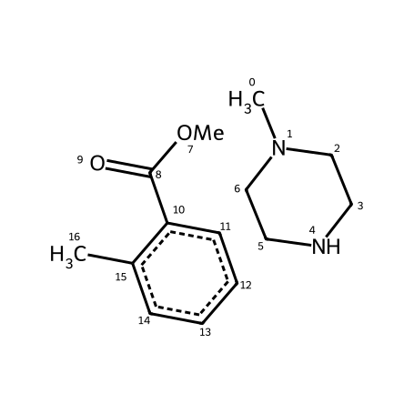 CN1CCNCC1.COC(=O)c1ccccc1C